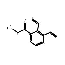 C=Cc1cccc(C(=O)CN)c1C=C